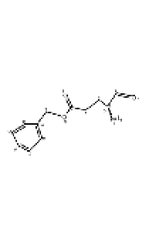 N[C@H](C=O)CCC(=O)OCc1ccccc1